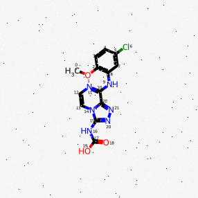 COc1ccc(Cl)cc1Nc1nccn2c(NC(=O)O)nnc12